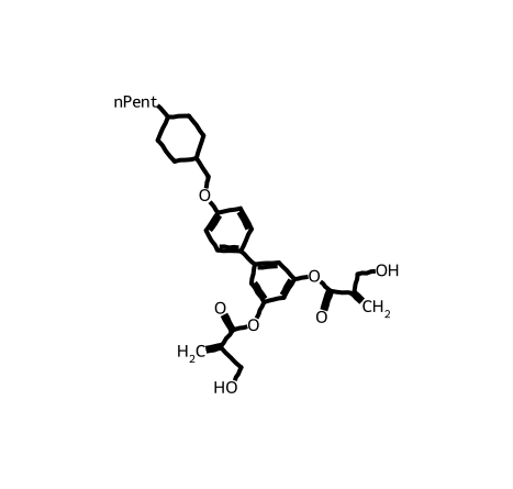 C=C(CO)C(=O)Oc1cc(OC(=O)C(=C)CO)cc(-c2ccc(OCC3CCC(CCCCC)CC3)cc2)c1